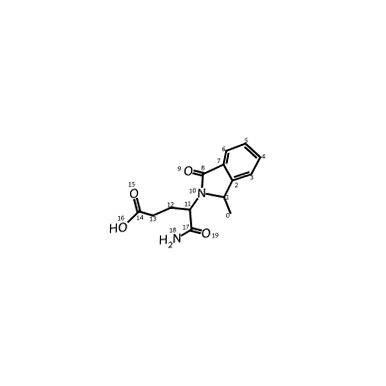 CC1c2ccccc2C(=O)N1C(CCC(=O)O)C(N)=O